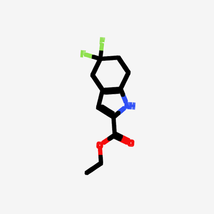 CCOC(=O)c1cc2c([nH]1)CCC(F)(F)C2